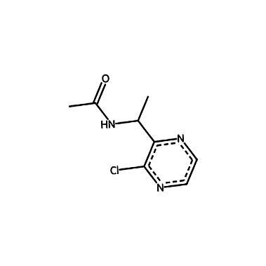 CC(=O)NC(C)c1nccnc1Cl